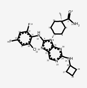 C[C@]1(C(N)=O)CC[C@H](n2c(Nc3c(F)cc(F)cc3Cl)nc3cnc(NC4CCC4)nc32)CC1